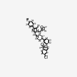 C[C@]1(c2ccc(Cl)cc2F)Oc2cccc(C3CCN(Cc4nc(-c5ccc(F)cc5)c(I)n4C[C@@H]4CCO4)CC3)c2O1